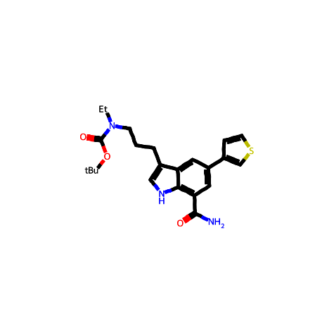 CCN(CCCc1c[nH]c2c(C(N)=O)cc(-c3ccsc3)cc12)C(=O)OC(C)(C)C